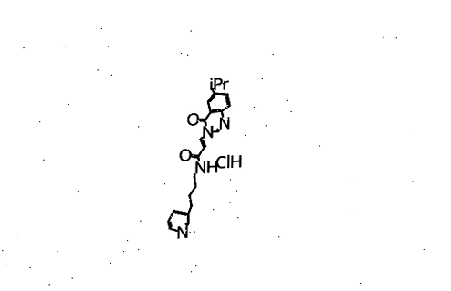 CC(C)c1ccc2ncn(C=CC(=O)NCCCCc3cccnc3)c(=O)c2c1.Cl